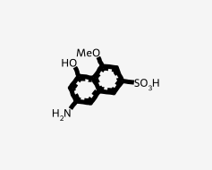 COc1cc(S(=O)(=O)O)cc2cc(N)cc(O)c12